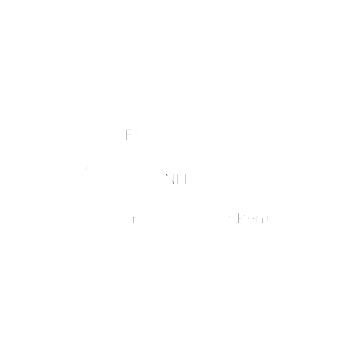 CCCCCCNC(C)(CC)CC